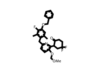 COCOc1ccc(Cc2c(C)cc(OCc3ccccc3)c(F)c2C)nc1C1CC(F)(F)CCC1=O